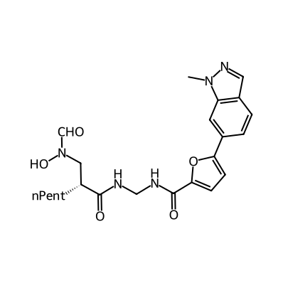 CCCCC[C@H](CN(O)C=O)C(=O)NCNC(=O)c1ccc(-c2ccc3cnn(C)c3c2)o1